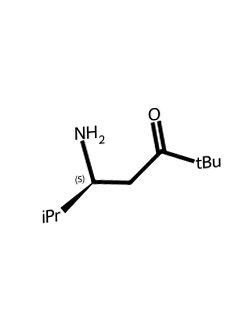 CC(C)[C@@H](N)CC(=O)C(C)(C)C